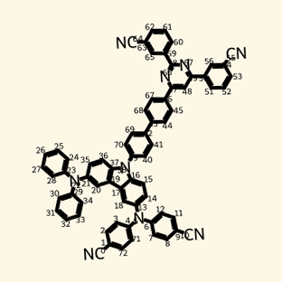 N#Cc1ccc(N(c2ccc(C#N)cc2)c2ccc3c(c2)c2cc(N(c4ccccc4)c4ccccc4)ccc2n3-c2ccc(-c3ccc(-c4cc(-c5cccc(C#N)c5)nc(-c5cccc(C#N)c5)n4)cc3)cc2)cc1